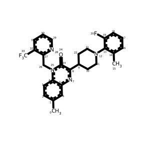 Cc1ccc2c(c1)nc(C1CCN(c3c(C)cccc3F)CC1)c(=O)n2Cc1ncccc1C(F)(F)F